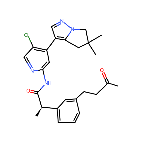 CC(=O)CCc1cccc([C@@H](C)C(=O)Nc2cc(-c3cnn4c3CC(C)(C)C4)c(Cl)cn2)c1